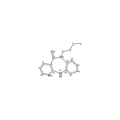 CCCCN1C(=O)c2cccnc2Nc2ccccc21